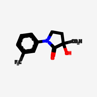 O=C(O)C1(O)CCN(c2cccc(C(F)(F)F)c2)C1=O